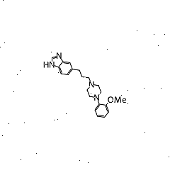 COc1ccccc1N1CCN(CCCc2ccc3[nH]cnc3c2)CC1